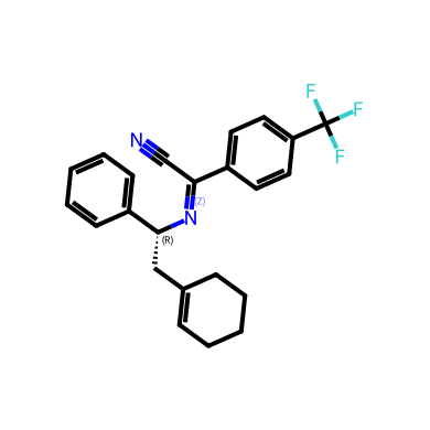 N#C/C(=N\[C@H](CC1=CCCCC1)c1ccccc1)c1ccc(C(F)(F)F)cc1